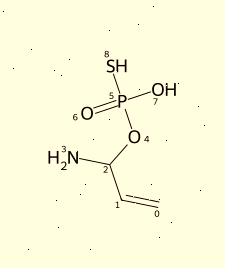 C=CC(N)OP(=O)(O)S